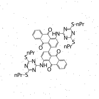 CCCSc1nc(Nc2ccc(-c3ccc(Nc4nc(SCCC)nc(SCCC)n4)c4c3C(=O)c3ccccc3C4=O)c3c2C(=O)c2ccccc2C3=O)nc(SCCC)n1